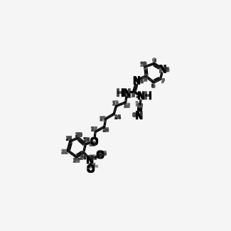 N#CN/C(=N\c1ccncc1)NCCCCCCOc1ccccc1[N+](=O)[O-]